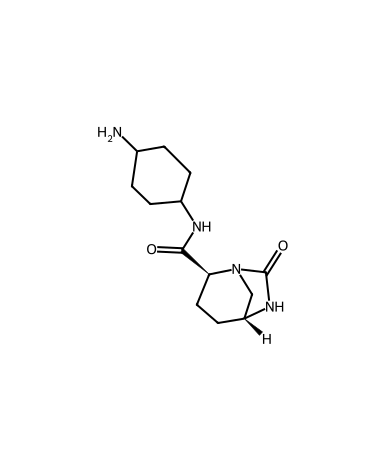 NC1CCC(NC(=O)[C@@H]2CC[C@@H]3CN2C(=O)N3)CC1